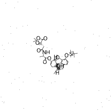 CC(NC(=O)C[C@@H]1OC(C)(C)OC1=O)C(=O)OC1=CC[C@@]2(O)[C@H]3Cc4ccc(O[Si](C)(C)C(C)(C)C)c5c4[C@@]2(CCN3C)[C@H]1O5